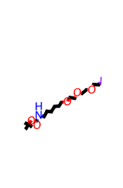 CC(C)(C)OC(=O)NCCCCCCOCCOCCOCCI